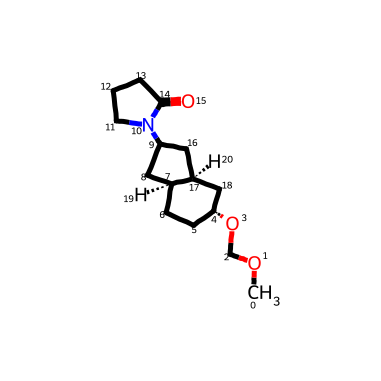 COCO[C@@H]1CC[C@H]2CC(N3CCCC3=O)C[C@H]2C1